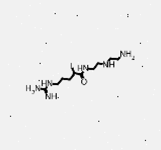 N=C(N)NCCCC(I)C(=O)NCCNCCN